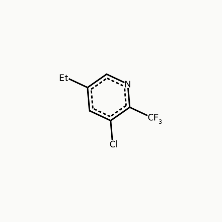 CCc1cnc(C(F)(F)F)c(Cl)c1